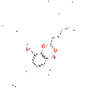 CCCCC(=O)Oc1c(Br)cccc1Br